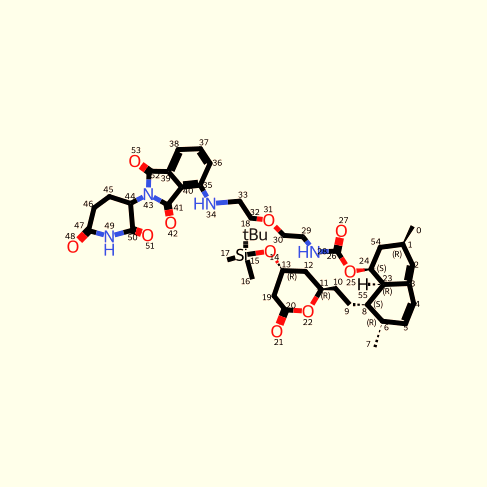 C[C@H]1C=C2C=C[C@H](C)[C@H](CC[C@@H]3C[C@@H](O[Si](C)(C)C(C)(C)C)CC(=O)O3)[C@H]2[C@@H](OC(=O)NCCOCCNc2cccc3c2C(=O)N(C2CCC(=O)NC2=O)C3=O)C1